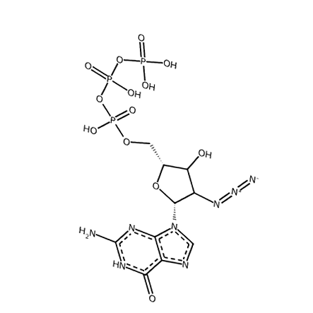 [N-]=[N+]=NC1C(O)[C@@H](COP(=O)(O)OP(=O)(O)OP(=O)(O)O)O[C@H]1n1cnc2c(=O)[nH]c(N)nc21